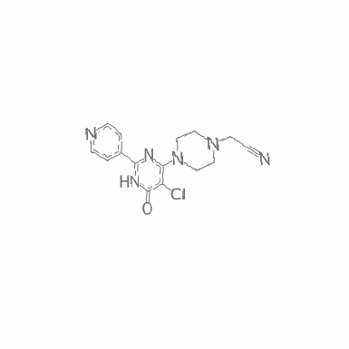 N#CCN1CCN(c2nc(-c3ccncc3)[nH]c(=O)c2Cl)CC1